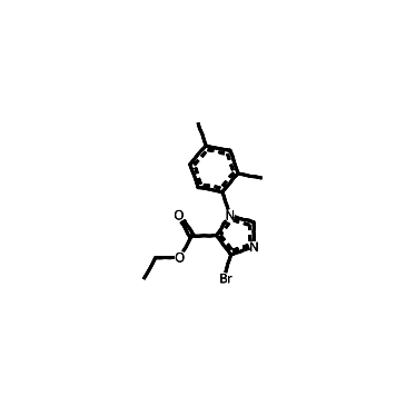 CCOC(=O)c1c(Br)ncn1-c1ccc(C)cc1C